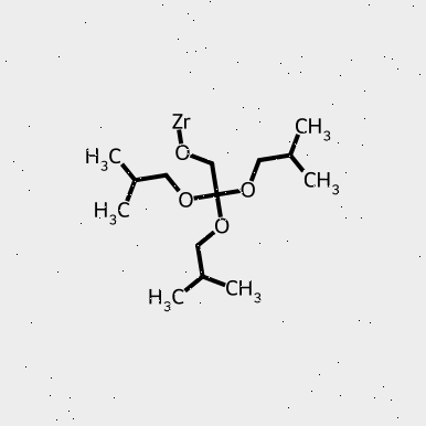 CC(C)COC(C[O][Zr])(OCC(C)C)OCC(C)C